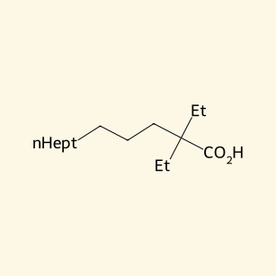 CCCCCCCCCCC(CC)(CC)C(=O)O